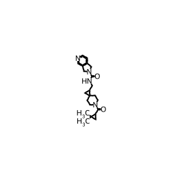 CC1(C)CC1C(=O)N1CCC2(CC1)CC2CNC(=O)N1Cc2ccncc2C1